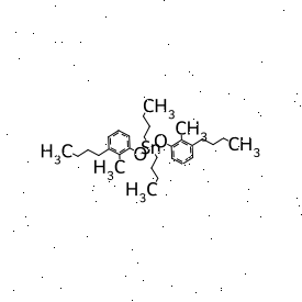 CCCCc1cccc([O][Sn]([CH2]CCC)([CH2]CCC)[O]c2cccc(CCCC)c2C)c1C